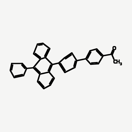 CC(=O)c1ccc(-c2ccc(-c3c4ccccc4c(-c4ccccc4)c4ccccc34)cc2)cc1